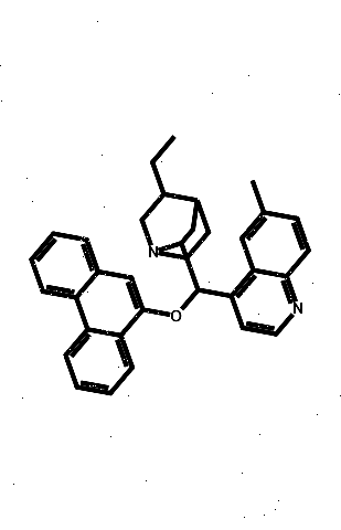 CCC1CN2CCC1CC2C(Oc1cc2ccccc2c2ccccc12)c1ccnc2ccc(C)cc12